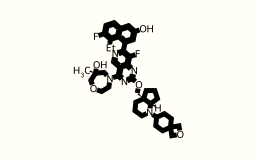 CCc1c(F)ccc2cc(O)cc(-c3ncc4c(N5CCOC[C@@](C)(O)C5)nc(OC[C@]56CCC[C@H]5N(C5CCC7(CC5)COC7)CCC6)nc4c3F)c12